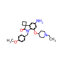 CCN1CCC(Oc2cc(N)cc3c2N(Cc2ccc(OC)cc2)C(=O)C32CCC2)CC1